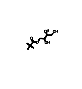 CC(C)(C)C(=O)OCC(O)C(O)CO